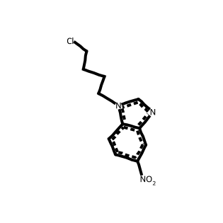 O=[N+]([O-])c1ccc2c(c1)ncn2CCCCCl